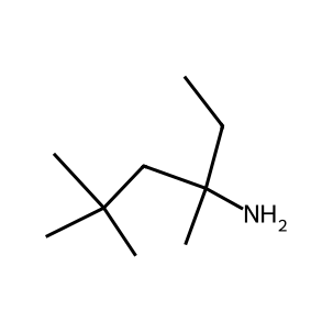 CCC(C)(N)CC(C)(C)C